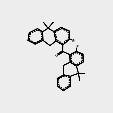 CC1(C)c2ccccc2Cc2c1ccc(Br)c2C(=O)c1c(Br)ccc2c1Cc1ccccc1C2(C)C